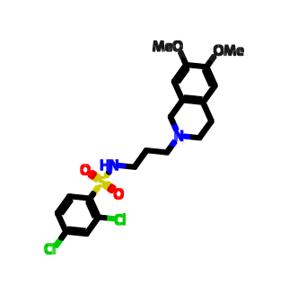 COc1cc2c(cc1OC)CN(CCCNS(=O)(=O)c1ccc(Cl)cc1Cl)CC2